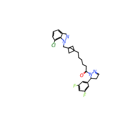 O=C(CCCCCC12CC(Cn3ncc4cccc(Cl)c43)(C1)C2)N1N=CCC1c1cc(F)cc(F)c1